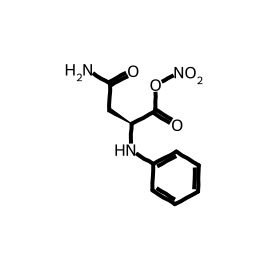 NC(=O)C[C@H](Nc1ccccc1)C(=O)O[N+](=O)[O-]